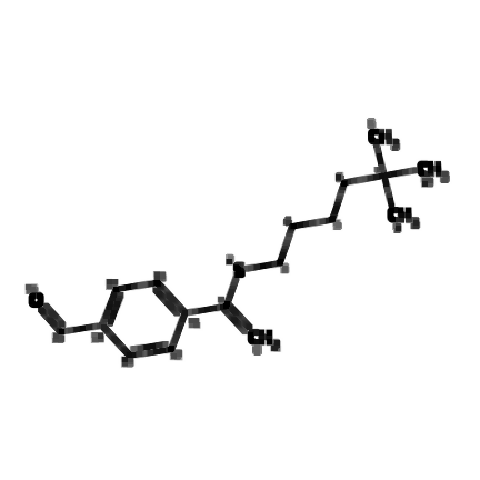 C=C(SCCCCC(C)(C)C)c1ccc(C=O)cc1